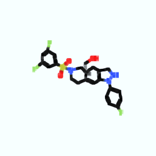 O=S(=O)(c1cc(F)cc(F)c1)N1CCC2=CC3=C(CNN3c3ccc(F)cc3)C[C@]2(CO)C1